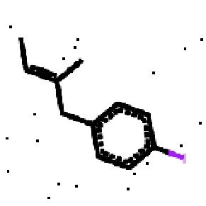 C/C=C(\C)Cc1ccc(I)cc1